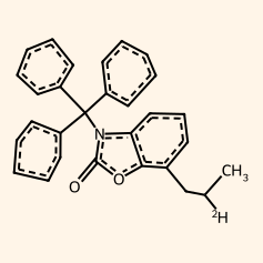 [2H]C(C)Cc1cccc2c1oc(=O)n2C(c1ccccc1)(c1ccccc1)c1ccccc1